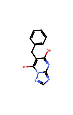 Oc1nc2ncnn2c(O)c1Cc1ccccc1